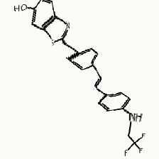 Oc1ccc2nc(-c3ccc(C=Cc4ccc(NCC(F)(F)F)cc4)cc3)sc2c1